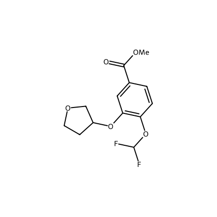 COC(=O)c1ccc(OC(F)F)c(OC2CCOC2)c1